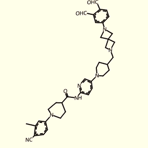 Cc1cc(N2CCC(C(=O)Nc3ccc(N4CCC(CN5CC6(C5)CN(c5ccc(C=O)c(C=O)c5)C6)CC4)cn3)CC2)ccc1C#N